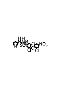 O=[N+]([O-])c1ccc(Oc2c(Cl)cc(S(=O)(=O)NC(=S)Nc3cccnc3)cc2Cl)c(Cl)c1